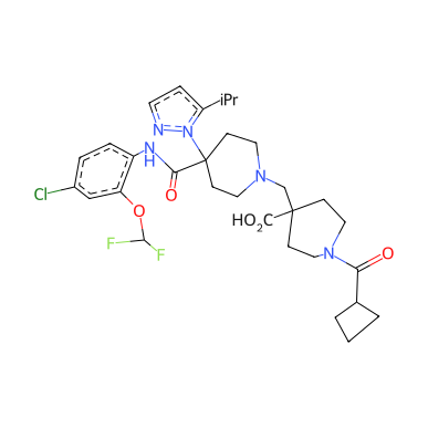 CC(C)c1ccnn1C1(C(=O)Nc2ccc(Cl)cc2OC(F)F)CCN(CC2(C(=O)O)CCN(C(=O)C3CCC3)CC2)CC1